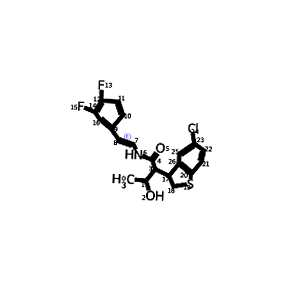 CC(O)C(C(=O)N/C=C/c1ccc(F)c(F)c1)C1CSc2ccc(Cl)cc21